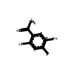 Cc1cc(F)c(C(N)=O)cc1F